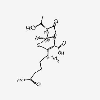 CC(O)[C@H]1C(=O)N2C(C(=O)O)=C([C@H](N)CCCC(=O)O)S[C@H]12